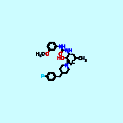 COc1cccc(NC(=O)N[C@H](CC(C)C)[C@H](O)CN2CCC(Cc3ccc(F)cc3)CC2)c1